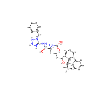 CC(C)(C)[Si](OCCCCC(NC(=O)O)C(=O)Nc1nnnn1Cc1ccccc1)(c1ccccc1)c1ccccc1